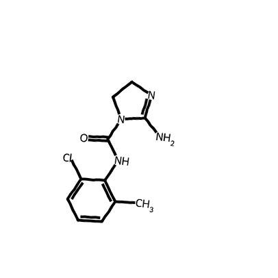 Cc1cccc(Cl)c1NC(=O)N1CCN=C1N